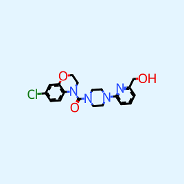 O=C(N1CCN(c2cccc(CO)n2)CC1)N1CCOc2cc(Cl)ccc21